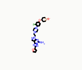 Nc1nc2c(cnn2CCN2CCN(c3ccc(O[C@H]4CC[S@+]([O-])CC4)cc3F)CC2)c2nc(-c3ccco3)nn12